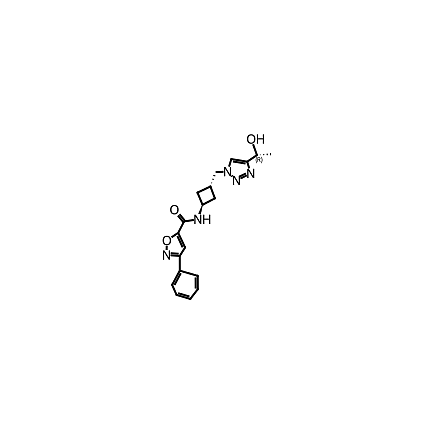 C[C@@H](O)c1cn(C[C@H]2C[C@H](NC(=O)c3cc(-c4ccccc4)no3)C2)nn1